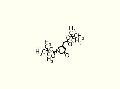 CC(C)(C)OC(=O)CC1=CC(=O)CN(C(=O)OC(C)(C)C)C1